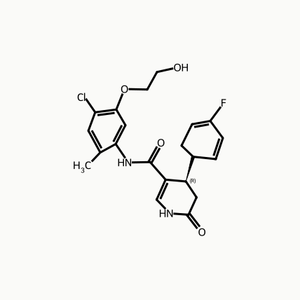 Cc1cc(Cl)c(OCCO)cc1NC(=O)C1=CNC(=O)C[C@@H]1C1C=CC(F)=CC1